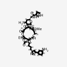 CC[C@H]1OC(=O)[C@H](C)C(=O)[C@H](C)[C@@H](O[C@@H]2O[C@H](CNC(=O)c3cc[nH]n3)CC(N)C2O)[C@](C)(OC)C[C@@H](C)CN[C@H](C)[C@H]2N(CCCCn3cc(-c4cccc(N)c4)nn3)C(=O)O[C@]12C